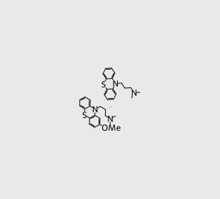 CN(C)CCCN1c2ccccc2Sc2ccccc21.COc1ccc2c(c1)N(C[C@H](C)CN(C)C)c1ccccc1S2